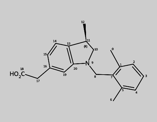 Cc1cccc(C)c1CN1C[C@H](C)c2ccc(CC(=O)O)cc21